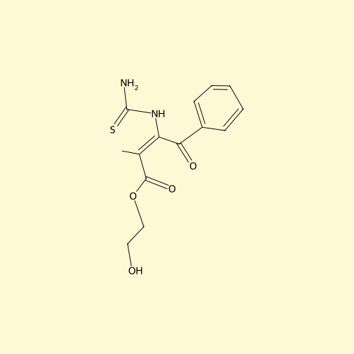 CC(C(=O)OCCO)=C(NC(N)=S)C(=O)c1ccccc1